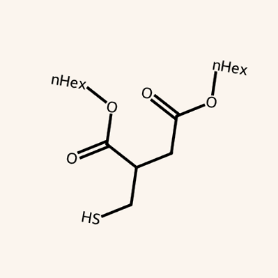 CCCCCCOC(=O)CC(CS)C(=O)OCCCCCC